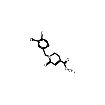 COC(=O)C1=CC(=O)N(Cc2ccc(F)c(Cl)c2)CC1